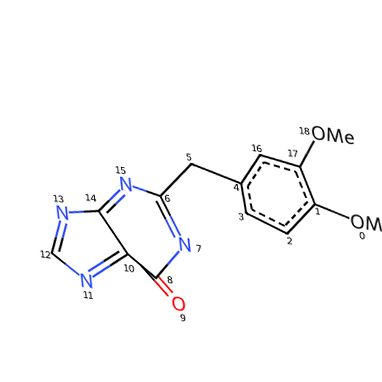 COc1ccc(CC2=NC(=O)C3=NC=NC3=N2)cc1OC